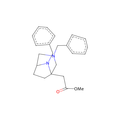 COC(=O)CC12CCC(CN(Cc3ccccc3)C1)N2Cc1ccccc1